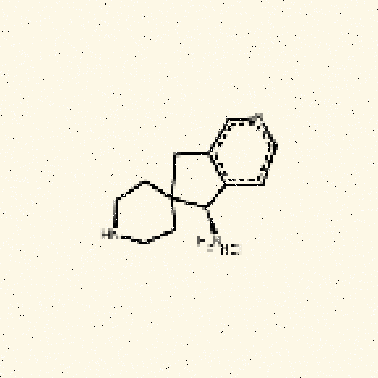 Cl.N[C@@H]1c2ccncc2CC12CCNCC2